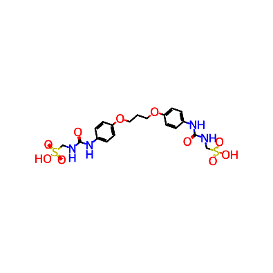 O=C(NCS(=O)(=O)O)Nc1ccc(OCCCOc2ccc(NC(=O)NCS(=O)(=O)O)cc2)cc1